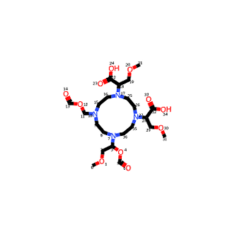 COCC(OC=O)N1CCN(COC=O)CCN(C(COC)C(=O)O)CCN(C(COC)C(=O)O)CC1